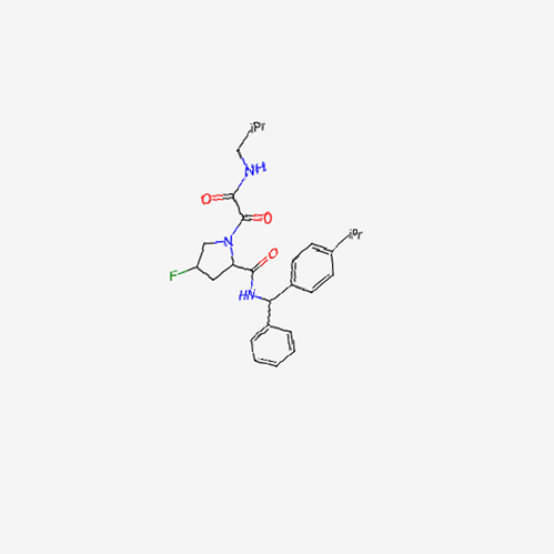 CC(C)CNC(=O)C(=O)N1CC(F)CC1C(=O)NC(c1ccccc1)c1ccc(C(C)C)cc1